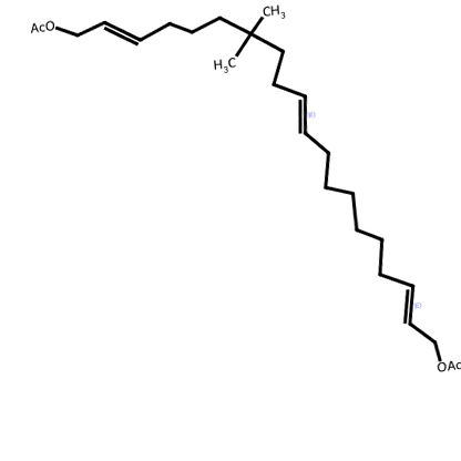 CC(=O)OCC=CCCCC(C)(C)CC/C=C/CCCCCC/C=C/COC(C)=O